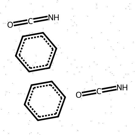 N=C=O.N=C=O.c1ccccc1.c1ccccc1